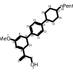 C=C(CO)C1=CC(OC)=CC(c2ccc(C3CCC(CCCCC)CC3)cc2)C1